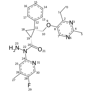 CCc1nc(C)ncc1OC[C@@]1(c2ccccc2)C[C@H]1C(=O)N(N)c1cc(C)c(F)cn1